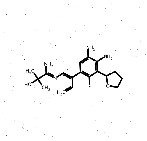 C=C/C(=C\N=C(/N)C(C)(C)O)c1cc(N)c(N)c(C2CCCO2)c1F